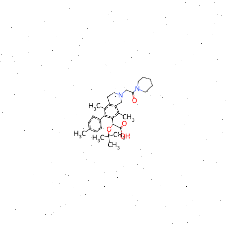 Cc1ccc(-c2c(C)c3c(c(C)c2C(OC(C)(C)C)C(=O)O)CN(CC(=O)N2CCCCC2)CC3)cc1